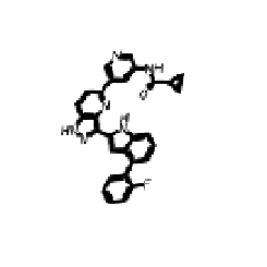 O=C(Nc1cncc(-c2ccc3[nH]nc(-c4cc5c(-c6ccccc6F)cccc5[nH]4)c3n2)c1)C1CC1